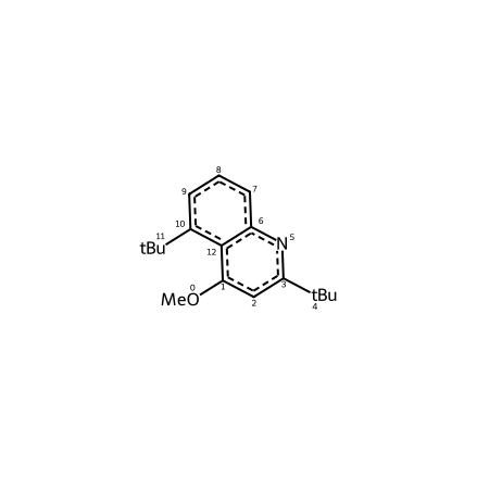 COc1cc(C(C)(C)C)nc2cccc(C(C)(C)C)c12